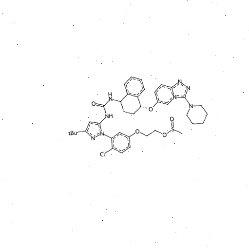 CS(=O)OCCOc1ccc(Cl)c(-n2nc(C(C)(C)C)cc2NC(=O)NC2CC[C@@H](Oc3ccc4nnc(N5CCCCC5)n4c3)c3ccccc32)c1